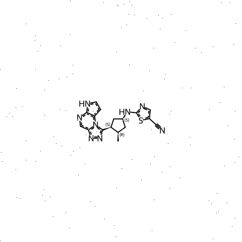 C[C@@H]1C[C@H](Nc2ncc(C#N)s2)C[C@@H]1c1nnc2cnc3[nH]ccc3n12